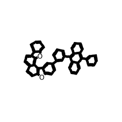 c1ccc(-c2c3ccccc3c(-c3cccc(-c4ccc5oc6ccc7ccc8c9ccccc9oc8c7c6c5c4)c3)c3ccccc23)cc1